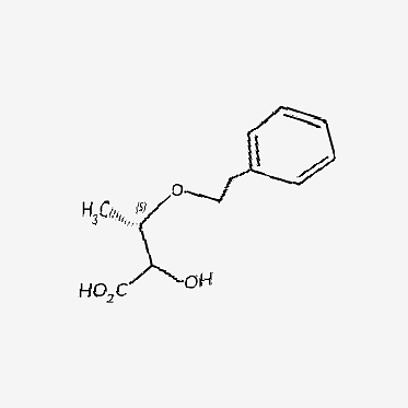 C[C@H](OCc1ccccc1)C(O)C(=O)O